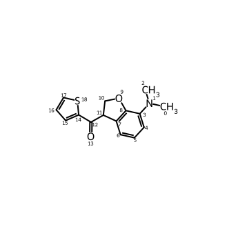 CN(C)c1cccc2c1OCC2C(=O)c1cccs1